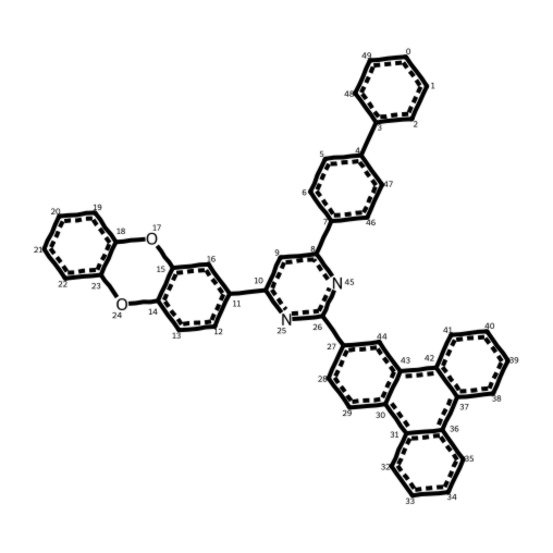 c1ccc(-c2ccc(-c3cc(-c4ccc5c(c4)Oc4ccccc4O5)nc(-c4ccc5c6ccccc6c6ccccc6c5c4)n3)cc2)cc1